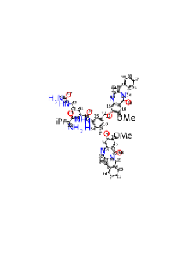 COc1cc2c(cc1OCc1cc(COc3cc4c(cc3OC)C(=O)N3Cc5ccccc5C[C@H]3C=N4)cc(NC(=O)[C@H](CCCNC(N)=O)NC(=O)[C@@H](N)C(C)C)c1)N=C[C@@H]1Cc3ccccc3CN1C2=O